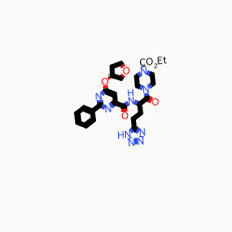 CCOC(=O)N1CCN(C(=O)C(CCc2nnn[nH]2)NC(=O)c2cc(O[C@H]3CCOC3)nc(-c3ccccc3)n2)CC1